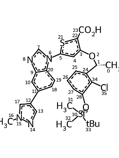 C[C@@H](Oc1cc(-n2cnc3cc(-c4cnn(C)c4)ccc32)sc1C(=O)O)c1cccc(O[Si](C)(C)C(C)(C)C)c1Cl